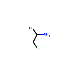 [CH2]C(N)CCl